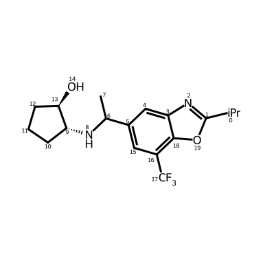 CC(C)c1nc2cc(C(C)N[C@@H]3CCC[C@H]3O)cc(C(F)(F)F)c2o1